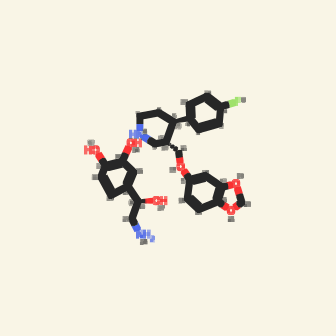 Fc1ccc([C@@H]2CCNC[C@H]2COc2ccc3c(c2)OCO3)cc1.NC[C@H](O)c1ccc(O)c(O)c1